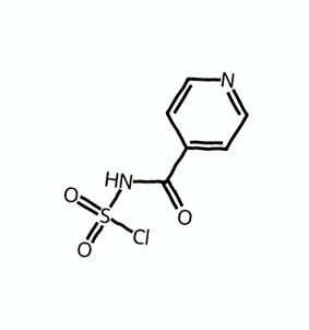 O=C(NS(=O)(=O)Cl)c1ccncc1